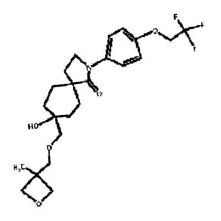 CC1(COCC2(O)CCC3(CCN(c4ccc(OCC(F)(F)F)cc4)C3=O)CC2)COC1